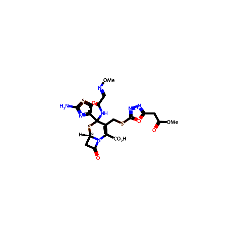 CON=CC(=O)NC1(c2csc(N)n2)S[C@H]2CC(=O)N2C(C(=O)O)=C1CSc1nnc(CC(=O)OC)o1